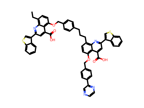 CCc1ccc(OCc2ccc(CCCc3ccc(OCc4ccc(-c5cnccn5)cc4)c4c(C(=O)O)cc(-c5csc6ccccc56)nc34)cc2)c2c(C(=O)O)cc(-c3csc4ccccc34)nc12